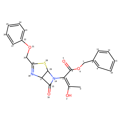 CC(O)=C(C(=O)OCc1ccccc1)N1C(=O)C2N=C(COc3ccccc3)SC21